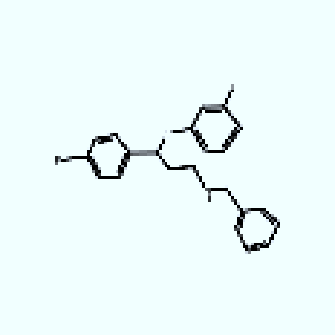 Fc1ccc(C(CCNCc2ccccc2)Oc2cccc(I)c2)cc1